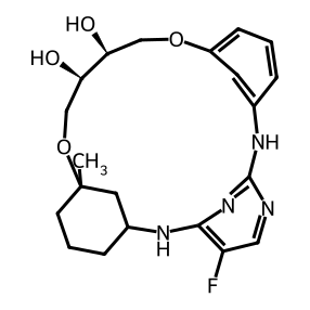 CC12CCCC(C1)Nc1nc(ncc1F)Nc1cccc(c1)OC[C@H](O)[C@H](O)CO2